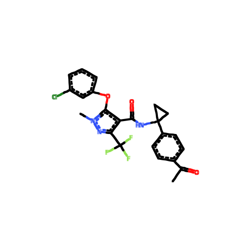 CC(=O)c1ccc(C2(NC(=O)c3c(C(F)(F)F)nn(C)c3Oc3cccc(Cl)c3)CC2)cc1